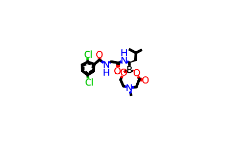 CC(C)C[C@H](NC(=O)CNC(=O)c1cc(Cl)ccc1Cl)B1OCCN(C)CC(=O)O1